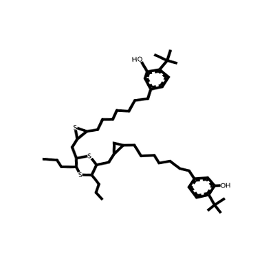 CCCC1SC(CCC)C(CC2SC2CCCCCCCc2ccc(C(C)(C)C)c(O)c2)SC1CC1CC1CCCCCCCc1ccc(C(C)(C)C)c(O)c1